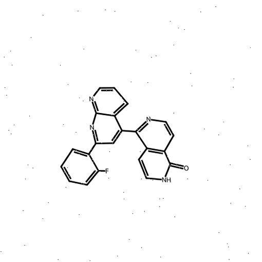 O=c1[nH]ccc2c(-c3cc(-c4ccccc4F)nc4ncccc34)nccc12